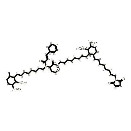 CCCCCCCCC1C(CCCCCC)CCC(C)C1CCCCCCCCN(C(=O)/C=C/c1ccccc1)C1CCON(CCCCCCCCC2C(CCCCCCCCN3C(=O)C=CC3=O)CCC(CCCCCC)C2CCCCCCCC)C1=O